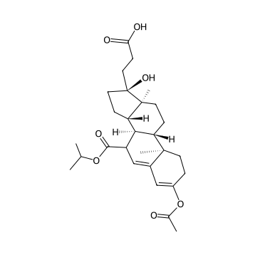 CC(=O)OC1=CC2=CC(C(=O)OC(C)C)[C@@H]3[C@H](CC[C@@]4(C)[C@H]3CC[C@]4(O)CCC(=O)O)[C@@]2(C)CC1